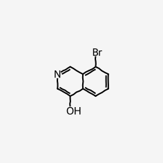 Oc1cncc2c(Br)cccc12